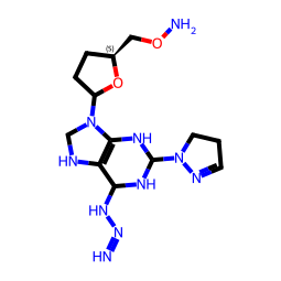 N=NNC1NC(N2CCC=N2)NC2=C1NCN2C1CC[C@@H](CON)O1